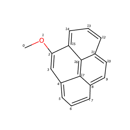 COc1cc2cc[c]c3ccc4cccc1c4c32